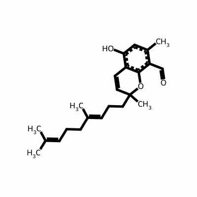 CC(C)=CCC/C(C)=C/CCC1(C)C=Cc2c(O)cc(C)c(C=O)c2O1